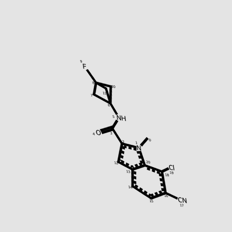 Cn1c(C(=O)NC23CC(F)(C2)C3)cc2ccc(C#N)c(Cl)c21